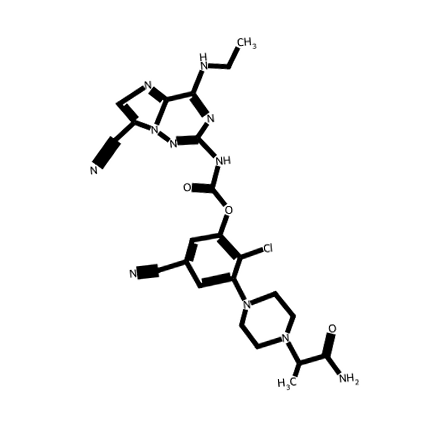 CCNc1nc(NC(=O)Oc2cc(C#N)cc(N3CCN(C(C)C(N)=O)CC3)c2Cl)nn2c(C#N)cnc12